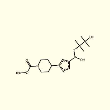 CC(C)(C)OC(=O)N1CCC(n2cc(B(O)OC(C)(C)C(C)(C)O)cn2)CC1